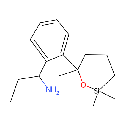 CCC(N)c1ccccc1C1(C)CCC[Si](C)(C)O1